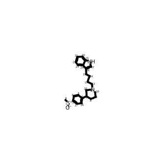 C[S+]([O-])c1ccc(C2CCCN(CCCCc3c[nH]c4ccccc34)C2)cc1